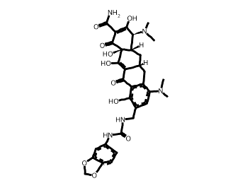 CN(C)c1cc(CNC(=O)Nc2ccc3c(c2)OCO3)c(O)c2c1C[C@H]1C[C@H]3[C@H](N(C)C)C(O)=C(C(N)=O)C(=O)[C@@]3(O)C(O)=C1C2=O